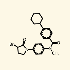 CN(C(=O)c1ccc(C2CCCCC2)cc1)c1ccc(N2CCC(Br)C2=O)cc1